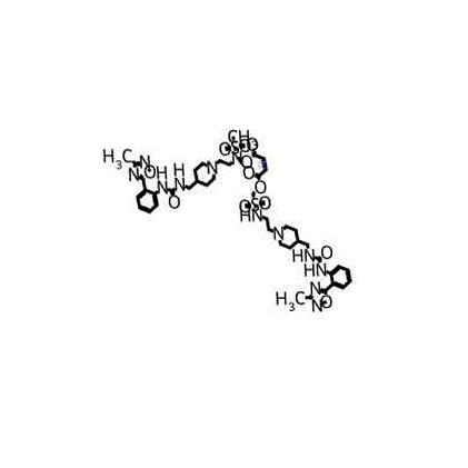 Cc1noc(-c2ccccc2NC(=O)NCC2CCN(CCNS(=O)(=O)COC(=O)/C=C\C(=O)ON(CCN3CCC(CNC(=O)Nc4ccccc4-c4nc(C)no4)CC3)S(C)(=O)=O)CC2)n1